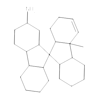 CC12C=CCCC1C1(C3CCCCC3C3CCC(N)CC31)C1CCCCC12